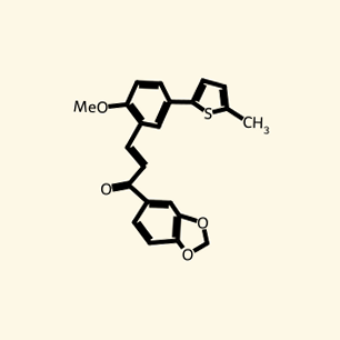 COc1ccc(-c2ccc(C)s2)cc1/C=C/C(=O)c1ccc2c(c1)OCO2